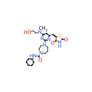 CN(CCO)c1cc(C=C2SC(=O)NC2=O)nc(N2CCCN(C(=O)Nc3ccccc3)CC2)n1